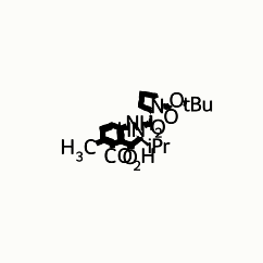 Cc1ccc(N)c(C(=O)[C@@H](NC(=O)[C@@H]2CCCN2C(=O)OC(C)(C)C)C(C)C)c1C(=O)O